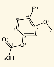 COc1cc(OC(=O)O)ccc1F